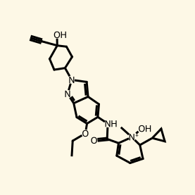 C#CC1(O)CCC(n2cc3cc(NC(=O)C4=CC=CC(C5CC5)[N+]4(C)O)c(OCC)cc3n2)CC1